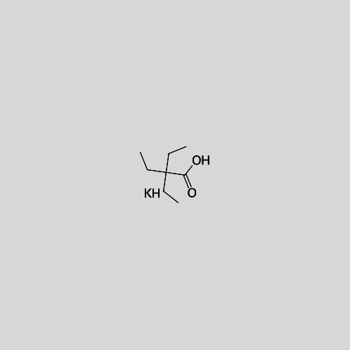 CCC(CC)(CC)C(=O)O.[KH]